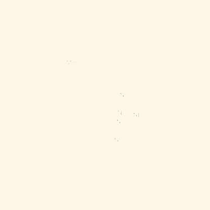 COc1ccc(C2CCN(C(C)C3=NN4CC(C5CCOCC5)=NC=C4C(=O)N3)CC2)cc1